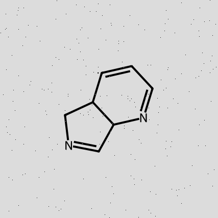 [C]1=CC=NC2C=NCC12